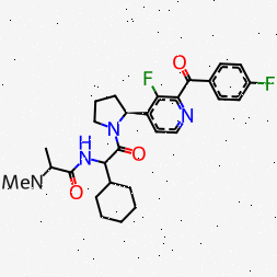 CNC(C)C(=O)NC(C(=O)N1CCC[C@H]1c1ccnc(C(=O)c2ccc(F)cc2)c1F)C1CCCCC1